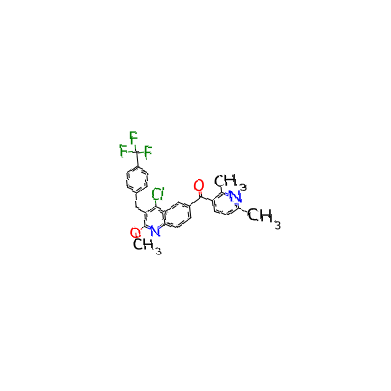 COc1nc2ccc(C(=O)c3ccc(C)nc3C)cc2c(Cl)c1Cc1ccc(C(F)(F)F)cc1